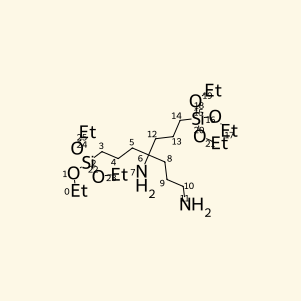 CCO[Si](CCCC(N)(CCCN)CCC[Si](OCC)(OCC)OCC)(OCC)OCC